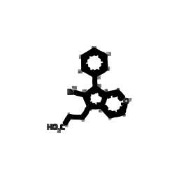 O=C(O)CCc1c2ccocc-2c(-c2ccccc2)c1Br